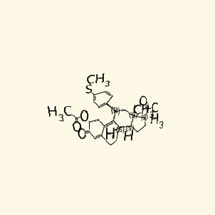 CSc1ccc([C@H]2C[C@]3(C)[C@@H](C(C)=O)CC[C@H]3[C@@H]3CCC4=CC(=O)C(OC(C)=O)CC4=C32)cc1